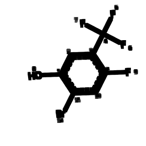 Oc1cc(C(F)(F)F)c(F)cc1Br